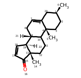 C[C@H]1CC[C@@]2(C)C(=CC[C@@H]3C2CC[C@]2(C)C(=O)C=C[C@@H]32)C1